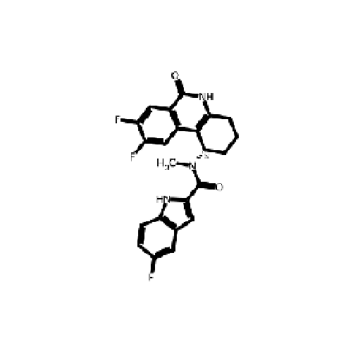 CN(C(=O)c1cc2cc(F)ccc2[nH]1)[C@H]1CCCc2[nH]c(=O)c3cc(F)c(F)cc3c21